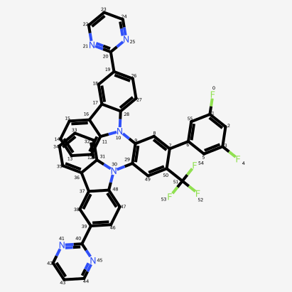 Fc1cc(F)cc(-c2cc(-n3c4ccccc4c4cc(-c5ncccn5)ccc43)c(-n3c4ccccc4c4cc(-c5ncccn5)ccc43)cc2C(F)(F)F)c1